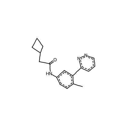 Cc1ccc(NC(=O)CC2CCC2)cc1-c1cccnn1